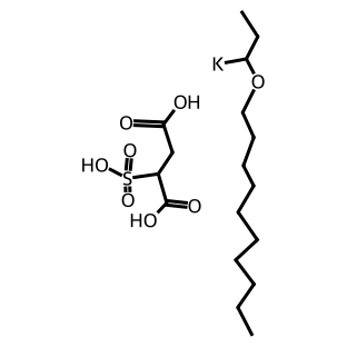 CCCCCCCCCCO[CH]([K])CC.O=C(O)CC(C(=O)O)S(=O)(=O)O